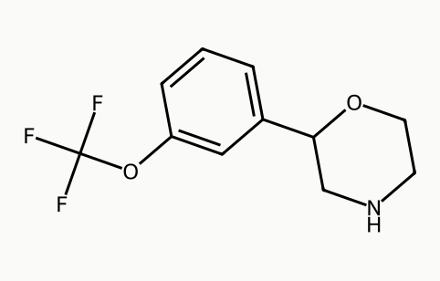 FC(F)(F)Oc1cccc(C2CNCCO2)c1